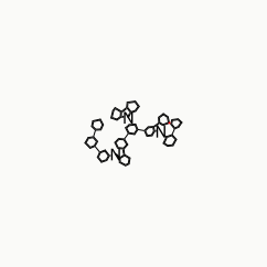 c1ccc(-c2cccc(-c3cccc(-n4c5ccccc5c5cc(-c6cc(-c7ccc8c(c7)c7ccccc7n8-c7ccccc7-c7ccccc7)cc(-n7c8ccccc8c8ccccc87)c6)ccc54)c3)c2)cc1